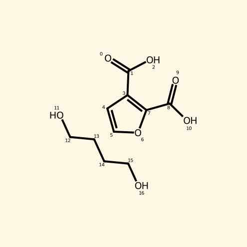 O=C(O)c1ccoc1C(=O)O.OCCCCO